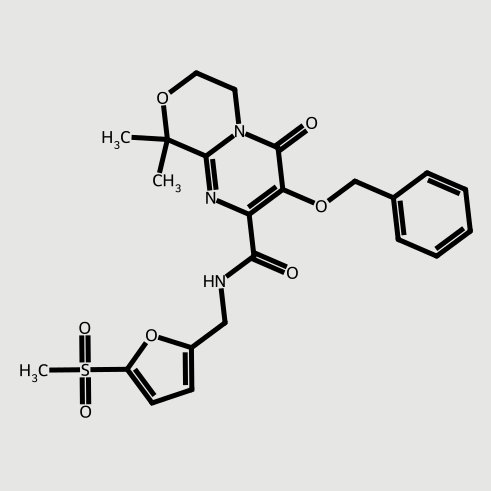 CC1(C)OCCn2c1nc(C(=O)NCc1ccc(S(C)(=O)=O)o1)c(OCc1ccccc1)c2=O